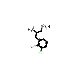 CC(Cc1cccc(Cl)c1F)CS(=O)(=O)O